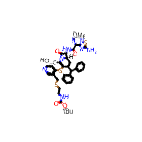 CON=C(C(=O)N[C@@H]1C(=O)N2C(C(=O)O)=C(Sc3ccncc3CSCCNC(=O)OC(C)(C)C)C(C(c3ccccc3)c3ccccc3)C[C@H]12)c1nsc(N)n1